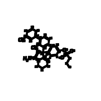 CCCS(=O)(=O)Oc1ccc(C2(c3cccc(-c4cccc(Cl)c4)c3Cl)N=C(N)N3CCCN=C32)cc1